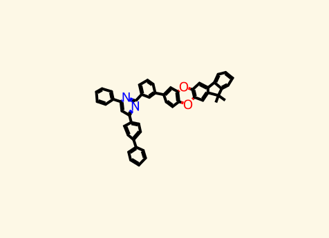 CC1(C)c2ccccc2-c2cc3c(cc21)Oc1ccc(-c2cccc(-c4nc(-c5ccccc5)cc(-c5ccc(-c6ccccc6)cc5)n4)c2)cc1O3